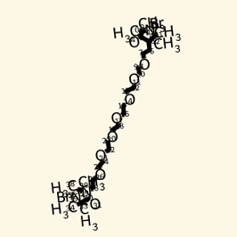 CC1(C)C(=O)C(CCOCCOCCOCCOCCOCCOCCOCCN2C(=O)C(C)(C)N(Br)C2(C)C)C(C)(C)N1Br